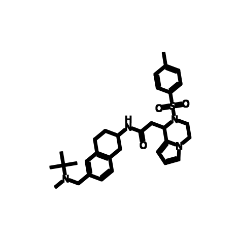 Cc1ccc(S(=O)(=O)N2CCn3cccc3C2CC(=O)NC2CCc3cc(CN(C)C(C)(C)C)ccc3C2)cc1